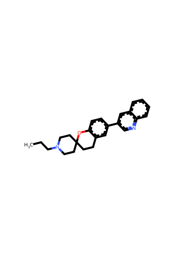 CCCN1CCC2(CCc3cc(-c4cnc5ccccc5c4)ccc3O2)CC1